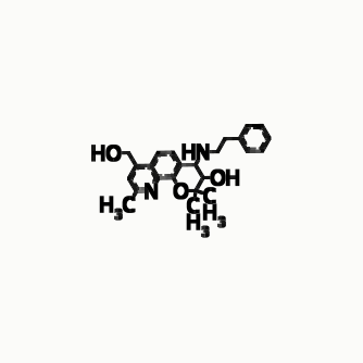 Cc1cc(CO)c2ccc3c(c2n1)OC(C)(C)C(O)C3NCCc1ccccc1